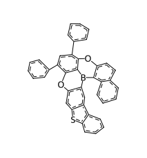 c1ccc(-c2cc(-c3ccccc3)c3c4c2Oc2cc5sc6ccccc6c5cc2B4c2c(ccc4ccccc24)O3)cc1